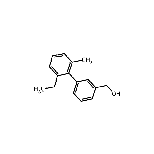 CCc1cccc(C)c1-c1cccc(CO)c1